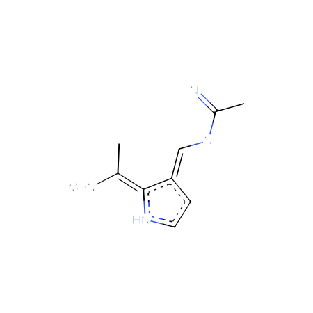 CN/C(C)=c1\[nH]cc\c1=C/NC(C)=N